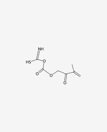 C=C(C)C(=O)COC(=O)OC(=N)S